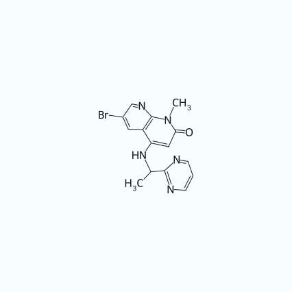 CC(Nc1cc(=O)n(C)c2ncc(Br)cc12)c1ncccn1